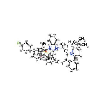 C=C1CC2C(CCc3ccc4c(sc5cc(-c6ccc(F)cc6)ccc54)c3-c3n(-c4c(C(C)C)cccc4C(C)C)c4ccccc4[n+]31)c1ccccc1-c1ccc([Si](C)(C)C)c[n+]12